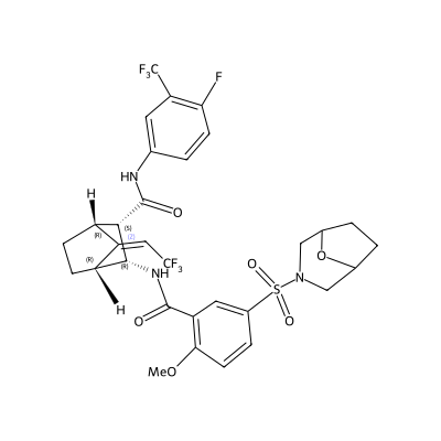 COc1ccc(S(=O)(=O)N2CC3CCC(C2)O3)cc1C(=O)N[C@H]1[C@@H](C(=O)Nc2ccc(F)c(C(F)(F)F)c2)[C@H]2CC[C@@H]1/C2=C\C(F)(F)F